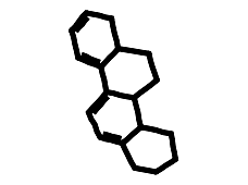 C1=CCC2CCC3C(=CC=C4CCCCC43)C2=C1